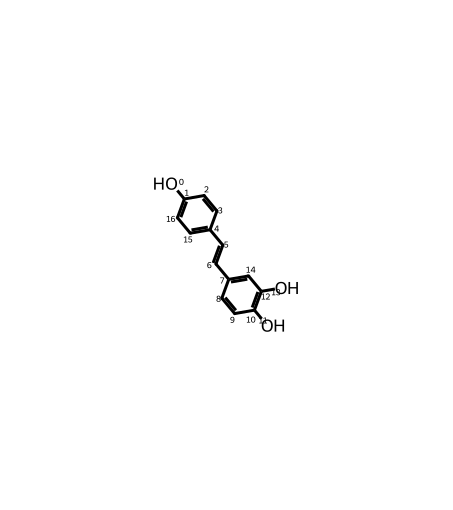 Oc1ccc(C=Cc2ccc(O)c(O)c2)cc1